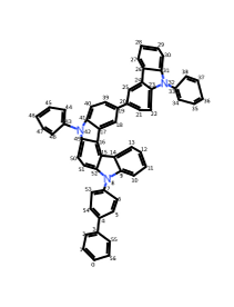 c1ccc(-c2ccc(-n3c4ccccc4c4c5c6cc(-c7ccc8c(c7)c7ccccc7n8-c7ccccc7)ccc6n(-c6ccccc6)c5ccc43)cc2)cc1